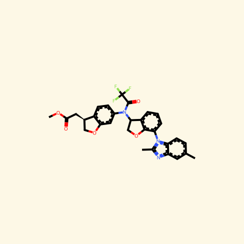 COC(=O)C[C@@H]1COc2cc(N(C(=O)C(F)(F)F)C3COc4c3cccc4-n3c(C)nc4cc(C)ccc43)ccc21